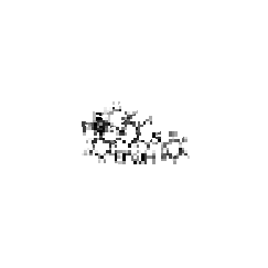 CN1C(CSc2ccccc2)=C(C(=O)O)C(c2ccccc2C(F)(F)F)C2=C1CCCC2=O